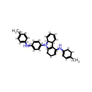 CC1=CC=C(NC2=CCCC3=C2C2C=CC=CC2N3c2ccc(Nc3ccc(C)cc3)cc2)CC1